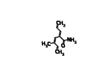 C=C/C=C(\C=C(\C)C=C)C(N)=O